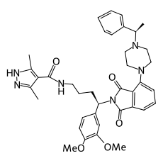 COc1ccc([C@@H](CCCNC(=O)c2c(C)n[nH]c2C)N2C(=O)c3cccc(N4CCN([C@H](C)c5ccccc5)CC4)c3C2=O)cc1OC